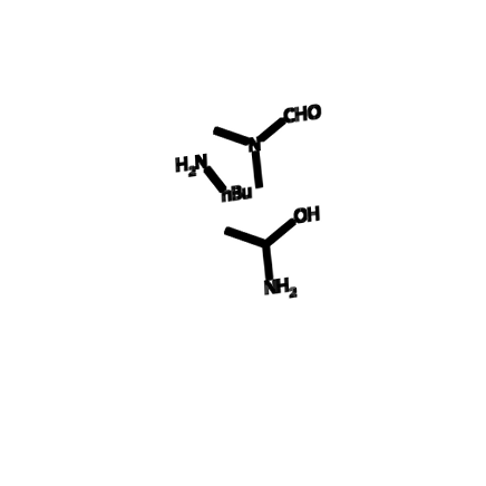 CC(N)O.CCCCN.CN(C)C=O